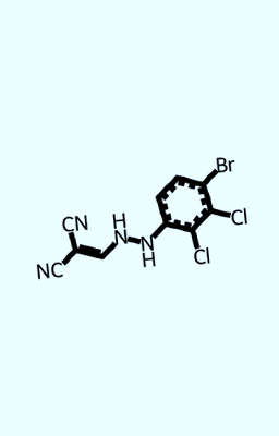 N#CC(C#N)=CNNc1ccc(Br)c(Cl)c1Cl